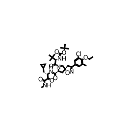 CCOc1c(C)cc(C2=NO[C@]3(C2)C[C@@H](C(=O)N[C@@H](CC2CC2)C(=O)C(=O)NC)N(C(=O)[C@@H](NC(=O)OC(C)(C)C)C(C)(C)C)C3)cc1Cl